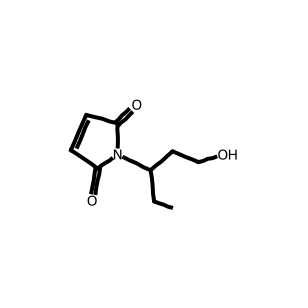 CCC(CCO)N1C(=O)C=CC1=O